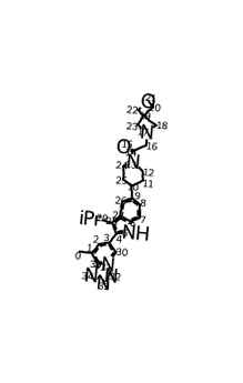 Cc1cc(-c2[nH]c3ccc(C4CCN(C(=O)CN5CC6(COC6)C5)CC4)cc3c2C(C)C)cn2nnnc12